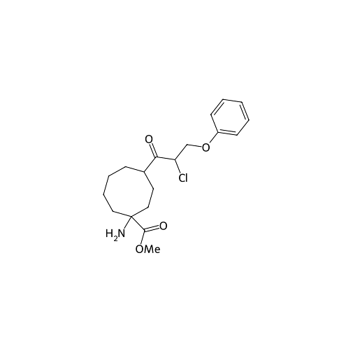 COC(=O)C1(N)CCCCC(C(=O)C(Cl)COc2ccccc2)CC1